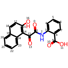 O=C(Nc1ccccc1C(=O)O)C(=O)c1c(O)ccc2ccccc12